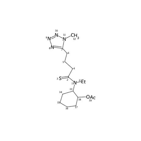 CCN(C(=S)CCCc1nnnn1C)C1CCCCC1OC(C)=O